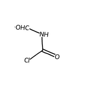 O=[C]NC(=O)Cl